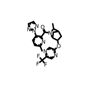 Cc1ccc(-n2nccn2)c(C(=O)N2C(C)C3CC(Oc4cnc(C(F)(F)F)cn4)C2C3)n1